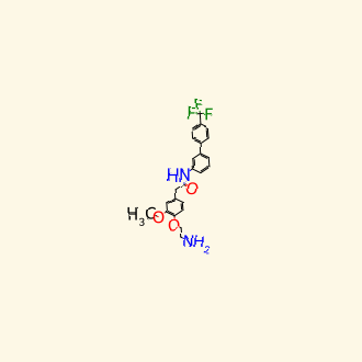 COc1cc(CC(=O)Nc2cccc(-c3ccc(C(F)(F)F)cc3)c2)ccc1OCCN